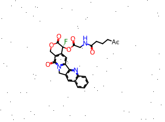 CC(=O)CCCC(=O)NCC(=O)O[C@]1(F)C(=O)OCc2c1cc1n(c2=O)Cc2cc3ccccc3nc2-1